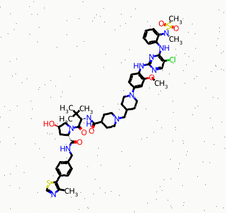 COc1cc(N2CCC(CN3CCC(C(=O)N[C@H](C(=O)N4C[C@H](O)C[C@H]4C(=O)NCc4ccc(-c5scnc5C)cc4)C(C)(C)C)CC3)CC2)ccc1Nc1ncc(Cl)c(Nc2ccccc2N(C)S(C)(=O)=O)n1